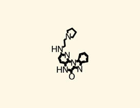 O=c1[nH]c2ccc(NCCN3CCCC3)nc2n2c1nc1ccccc12